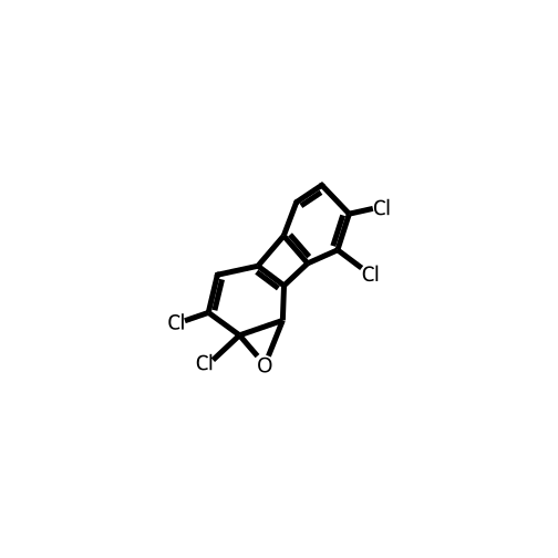 ClC1=CC2=C(c3c2ccc(Cl)c3Cl)C2OC12Cl